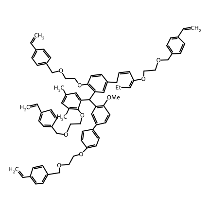 C=Cc1ccc(COCCOC(/C=C\Cc2ccc(OCCOCc3ccc(C=C)cc3)c(C(c3cc(-c4ccc(OCCOCc5ccc(C=C)cc5)cc4)ccc3OC)c3cc(C)cc(C)c3OCCOCc3ccc(C=C)cc3)c2)=C/CC)cc1